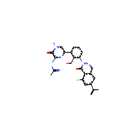 C=C(C)c1cc(F)c2c(=O)n(-c3cccc(-c4cn(C)c(=O)c(NC(=N)NC)n4)c3CO)ncc2c1